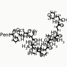 CCCCCCCC[C@H](NC(=O)[C@@H]1CCCN1C(=O)CCCCC)C(=O)N[C@@H](CC(C)C)C(=O)NC(C)(C)C(=O)N[C@@H](CC(C)C)C(=O)N[C@@H](CC(C)C)C(=O)NC(C)(C)C(=O)NC(C)(C)C(=O)NCCC(=O)N[C@@H](C)CN1CCOCC1